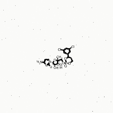 C[C@]1(COP2(=O)OCCC(c3cc(Cl)cc(Cl)c3)O2)O[C@@H](n2ccc(N)nc2=O)[C@H](O)[C@@H]1O